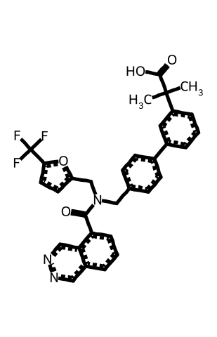 CC(C)(C(=O)O)c1cccc(-c2ccc(CN(Cc3ccc(C(F)(F)F)o3)C(=O)c3cccc4cnncc34)cc2)c1